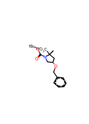 CC(C)(C)OC(=O)N1C[C@H](OCc2ccccc2)CC1(C)C(=O)O